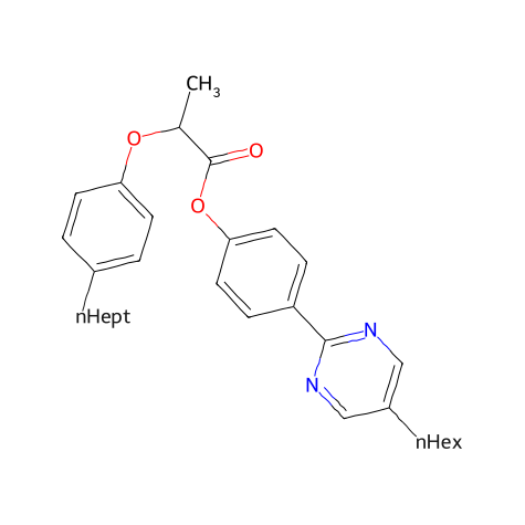 CCCCCCCc1ccc(OC(C)C(=O)Oc2ccc(-c3ncc(CCCCCC)cn3)cc2)cc1